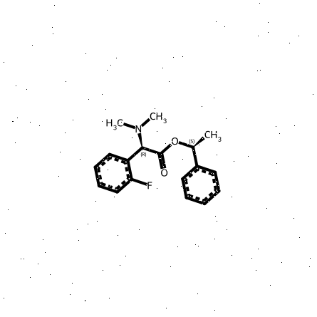 C[C@H](OC(=O)[C@@H](c1ccccc1F)N(C)C)c1ccccc1